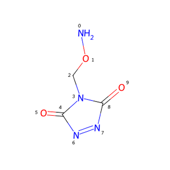 NOCN1C(=O)N=NC1=O